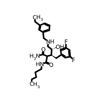 CCCCCNC(=O)C(C(N)=O)[C@H](Cc1cc(F)cc(F)c1)[C@@H](O)CNCc1cccc(CC)c1